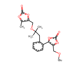 Cc1oc(=O)oc1COC(C)(C)Cc1ccccc1-c1oc(=O)oc1COC(C)(C)C